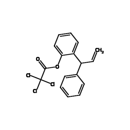 C=CC(c1ccccc1)c1ccccc1OC(=O)C(Cl)(Cl)Cl